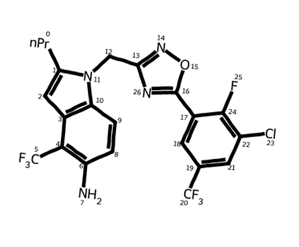 CCCc1cc2c(C(F)(F)F)c(N)ccc2n1Cc1noc(-c2cc(C(F)(F)F)cc(Cl)c2F)n1